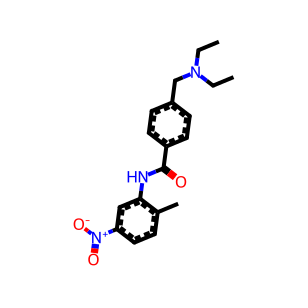 CCN(CC)Cc1ccc(C(=O)Nc2cc([N+](=O)[O-])ccc2C)cc1